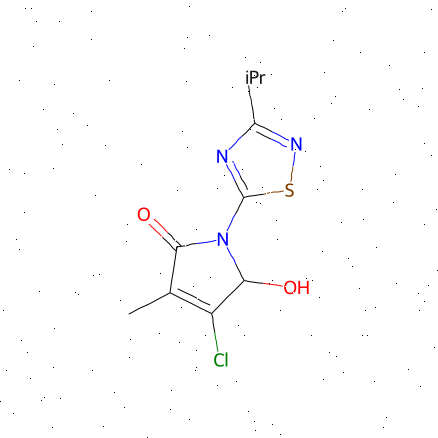 CC1=C(Cl)C(O)N(c2nc(C(C)C)ns2)C1=O